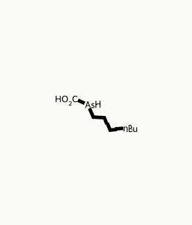 [CH2]CCCCCC[AsH]C(=O)O